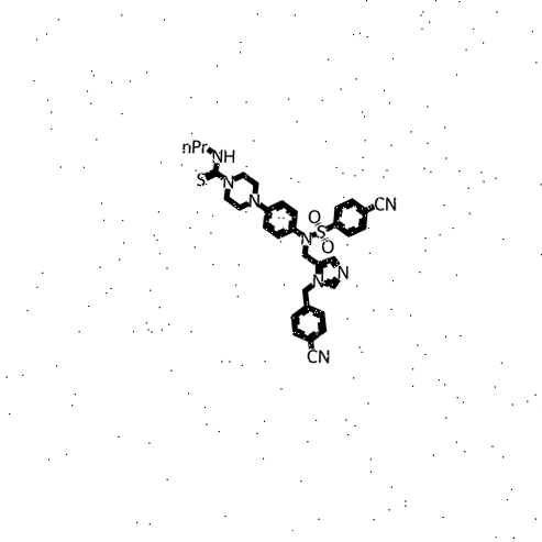 CCCNC(=S)N1CCN(c2ccc(N(Cc3cncn3Cc3ccc(C#N)cc3)S(=O)(=O)c3ccc(C#N)cc3)cc2)CC1